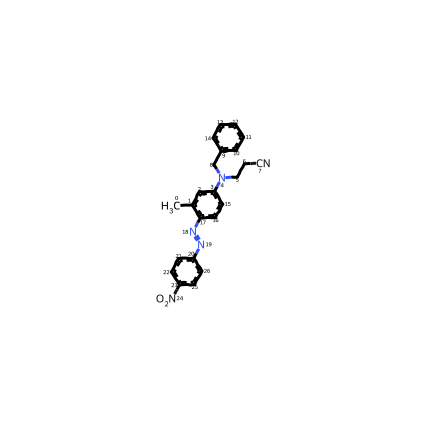 Cc1cc(N(CCC#N)Cc2ccccc2)ccc1N=Nc1ccc([N+](=O)[O-])cc1